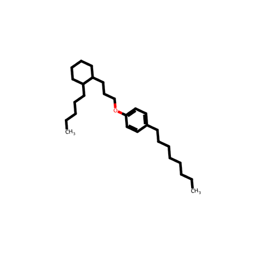 CCCCCCCCc1ccc(OCCCC2CCCCC2CCCCC)cc1